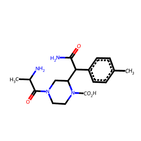 Cc1ccc(C(C(N)=O)C2CN(C(=O)C(C)N)CCN2C(=O)O)cc1